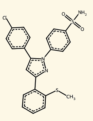 CSc1ccccc1-c1cc(-c2ccc(Cl)cc2)n(-c2ccc(S(N)(=O)=O)cc2)n1